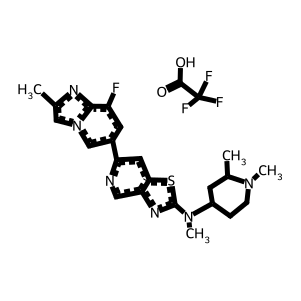 Cc1cn2cc(-c3cc4sc(N(C)C5CCN(C)C(C)C5)nc4cn3)cc(F)c2n1.O=C(O)C(F)(F)F